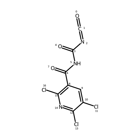 O=C=NC(=O)NC(=O)c1cc(Cl)c(Cl)nc1Cl